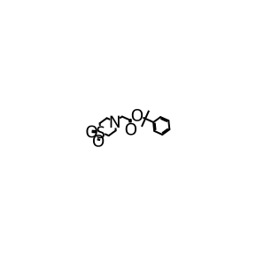 CC(C)(OC(=O)CN1CCS(=O)(=O)CC1)c1ccccc1